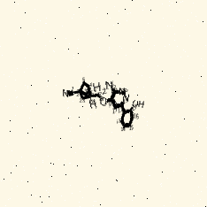 N#CC12CC(C1)[C@@H](COc1cc(-c3ccccc3O)nnc1N)C2